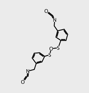 O=C=NCc1cccc(SOSc2cccc(CN=C=O)c2)c1